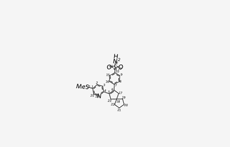 CSc1ccc(C2=C(c3ccc(S(N)(=O)=O)cc3)CC3(CCCC3)C2)nc1